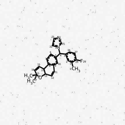 Cc1cc(C(c2ccc3c(c2)C=CC2OC(C)(C)C=CC32)n2ccnc2)ccc1F